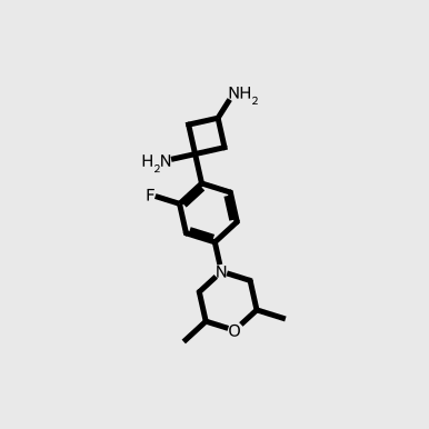 CC1CN(c2ccc(C3(N)CC(N)C3)c(F)c2)CC(C)O1